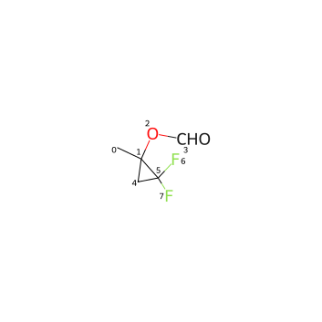 CC1(OC=O)CC1(F)F